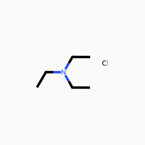 CCN(CC)CC.[C]